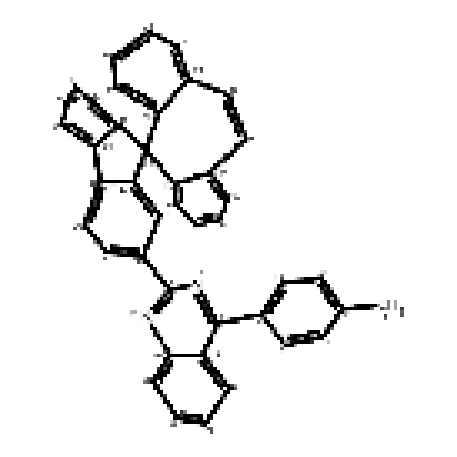 Cc1ccc(-c2nc(-c3ccc4c(c3)C3(c5ccccc5C=Cc5ccccc53)c3ccccc3-4)nc3ccccc23)cc1